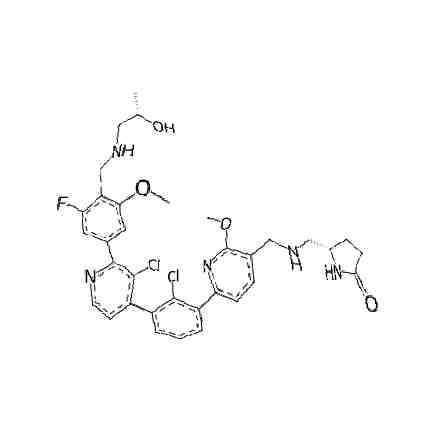 COc1cc(-c2nccc(-c3cccc(-c4ccc(CNC[C@@H]5CCC(=O)N5)c(OC)n4)c3Cl)c2Cl)cc(F)c1CNC[C@H](C)O